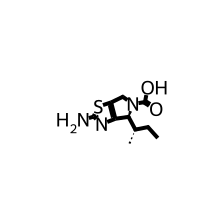 CC[C@H](C)[C@H]1c2nc(N)sc2CN1C(=O)O